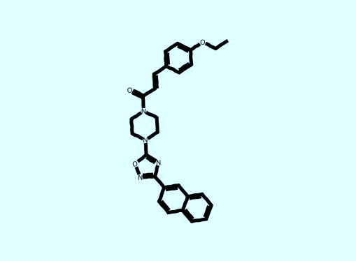 CCOc1ccc(/C=C/C(=O)N2CCN(c3nc(-c4ccc5ccccc5c4)no3)CC2)cc1